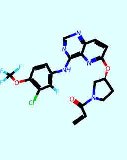 C=CC(=O)N1CC[C@H](Oc2ccc3ncnc(Nc4ccc(OC(F)(F)F)c(Cl)c4F)c3n2)C1